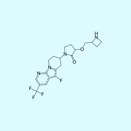 O=C1C(OCC2CCN2)CCN1C1CCn2c(c(F)c3cc(C(F)(F)F)cnc32)C1